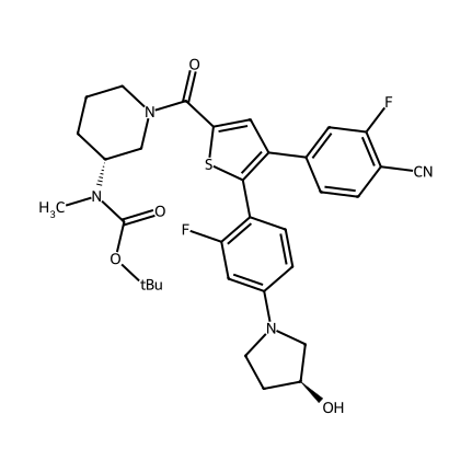 CN(C(=O)OC(C)(C)C)[C@@H]1CCCN(C(=O)c2cc(-c3ccc(C#N)c(F)c3)c(-c3ccc(N4CC[C@H](O)C4)cc3F)s2)C1